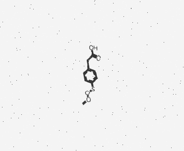 COOSc1ccc(CC(=O)O)cc1